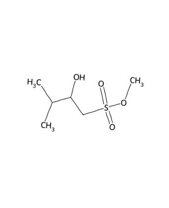 COS(=O)(=O)CC(O)C(C)C